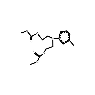 COC(=O)OCCN(CCOC(=O)OC)c1cccc(C)c1